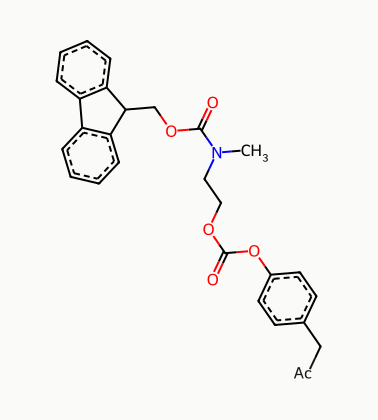 CC(=O)Cc1ccc(OC(=O)OCCN(C)C(=O)OCC2c3ccccc3-c3ccccc32)cc1